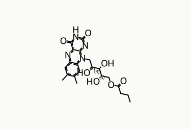 CCCC(=O)OC[C@H](O)[C@H](O)[C@H](O)Cn1c2nc(=O)[nH]c(=O)c-2nc2cc(C)c(C)cc21